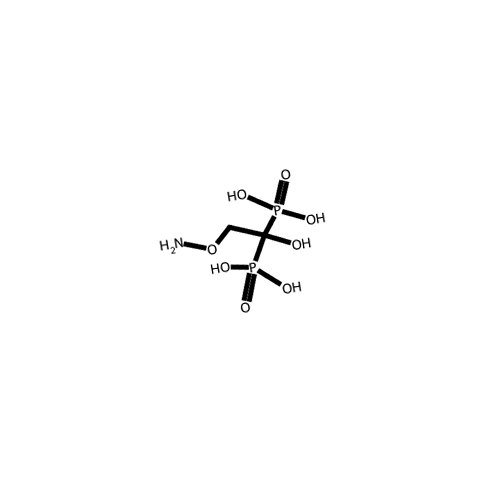 NOCC(O)(P(=O)(O)O)P(=O)(O)O